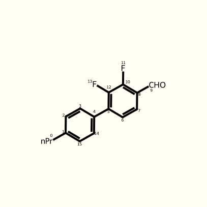 CCCc1ccc(-c2ccc(C=O)c(F)c2F)cc1